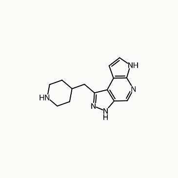 c1cc2c(ncc3[nH]nc(CC4CCNCC4)c32)[nH]1